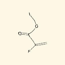 C=C(F)C(=O)OI